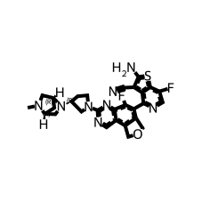 CN1C[C@H]2C[C@@H]1CN2[C@@H]1CCN(c2ncc3c4c(c(-c5ncc(F)c6sc(N)c(C#N)c56)c(F)c3n2)COC4)C1